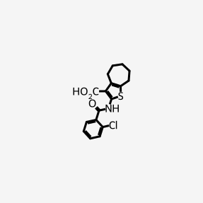 O=C(Nc1sc2c(c1C(=O)O)CCCCC2)c1ccccc1Cl